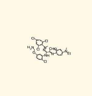 CCN(C)c1ccc(/N=C(C=O)/C(=N\N(C)c2c(Cl)cc(Cl)cc2Cl)Nc2cc(OCN)ccc2Cl)c(C)c1